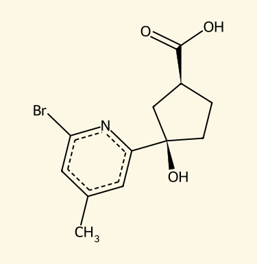 Cc1cc(Br)nc([C@@]2(O)CC[C@H](C(=O)O)C2)c1